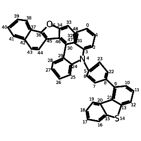 c1ccc(N(c2ccc(-c3cccc4sc5ccccc5c34)cc2)c2ccccc2-c2cccc3oc4c5ccccc5ccc4c23)cc1